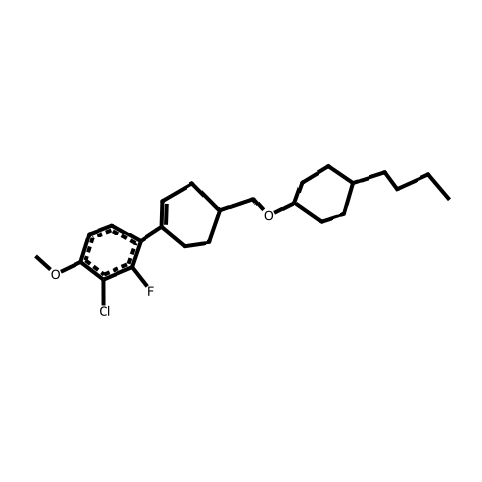 CCCCC1CCC(OCC2CC=C(c3ccc(OC)c(Cl)c3F)CC2)CC1